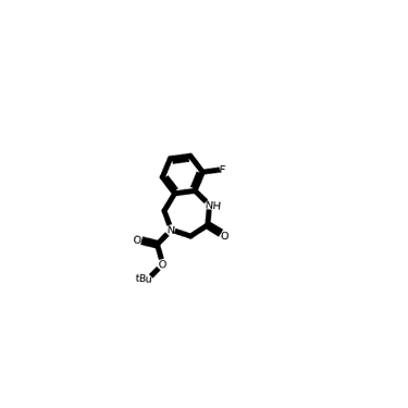 CC(C)(C)OC(=O)N1CC(=O)Nc2c(F)cccc2C1